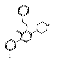 O=c1c(OCc2ccccc2)c(N2CCNCC2)cnn1-c1cccc(Cl)c1